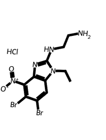 CCn1c(NCCN)nc2c([N+](=O)[O-])c(Br)c(Br)cc21.Cl